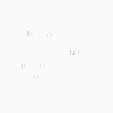 CCOC(N)=O.[B]=O